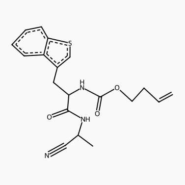 C=CCCOC(=O)NC(Cc1csc2ccccc12)C(=O)NC(C)C#N